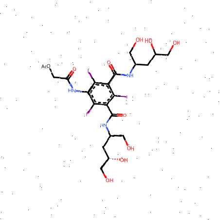 CC(=O)OCC(=O)Nc1c(I)c(C(=O)NC(CO)CC(O)CO)c(I)c(C(=O)NC(CO)C[C@H](O)CO)c1I